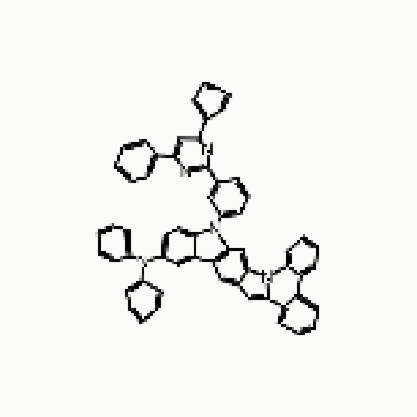 c1ccc(-c2cc(-c3ccccc3)nc(-c3cccc(-n4c5ccc(N(c6ccccc6)c6ccccc6)cc5c5cc6cc7c8ccccc8c8ccccc8n7c6cc54)c3)n2)cc1